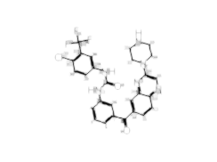 O=C(Nc1cccc(C(=O)c2ccc3ncc(N4CCNCC4)nc3c2)c1)Nc1ccc(Cl)c(C(F)(F)F)c1